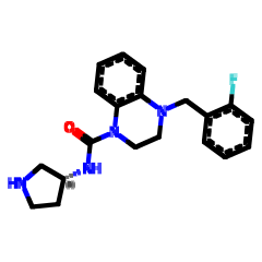 O=C(N[C@@H]1CCNC1)N1CCN(Cc2ccccc2F)c2ccccc21